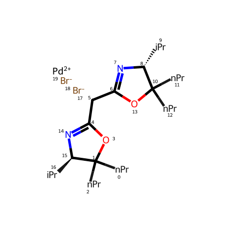 CCCC1(CCC)OC(CC2=N[C@H](C(C)C)C(CCC)(CCC)O2)=N[C@@H]1C(C)C.[Br-].[Br-].[Pd+2]